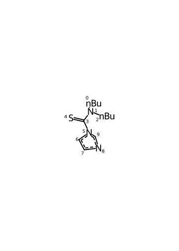 CCCCN(CCCC)C(=S)n1ccnc1